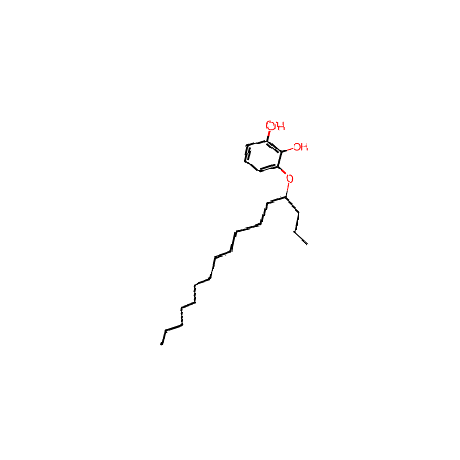 CCCCCCCCCCCCC(CCC)Oc1cccc(O)c1O